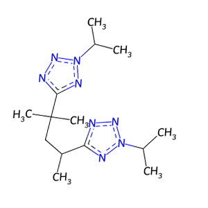 CC(CC(C)(C)c1nnn(C(C)C)n1)c1nnn(C(C)C)n1